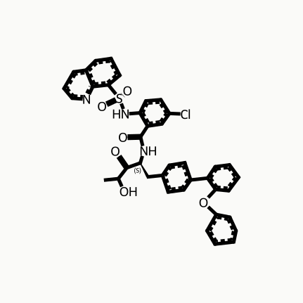 CC(O)C(=O)[C@H](Cc1ccc(-c2ccccc2Oc2ccccc2)cc1)NC(=O)c1cc(Cl)ccc1NS(=O)(=O)c1cccc2cccnc12